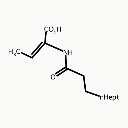 CC=C(NC(=O)CCCCCCCCC)C(=O)O